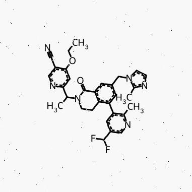 CCOc1cc(C(C)N2CCc3c(cc(Cn4ccnc4C)cc3-c3cc(C(F)F)cnc3C)C2=O)ncc1C#N